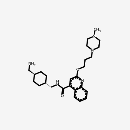 CN1CCN(CCCOc2cc(C(=O)NC[C@H]3CC[C@H](CN)CC3)c3ccccc3n2)CC1